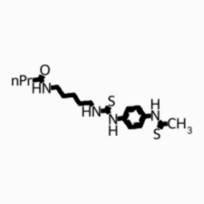 CCCC(=O)NCCCCCNC(=S)Nc1ccc(NC(C)=S)cc1